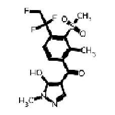 Cc1c(C(=O)c2cnn(C)c2O)ccc(C(F)(F)CF)c1S(C)(=O)=O